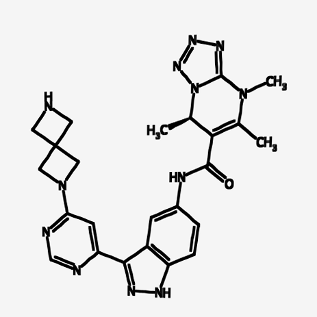 CC1=C(C(=O)Nc2ccc3[nH]nc(-c4cc(N5CC6(CNC6)C5)ncn4)c3c2)[C@@H](C)n2nnnc2N1C